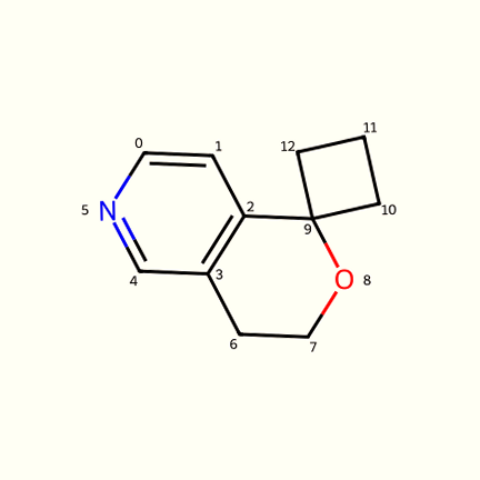 c1cc2c(cn1)CCOC21CCC1